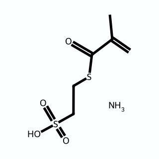 C=C(C)C(=O)SCCS(=O)(=O)O.N